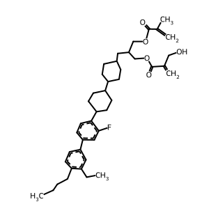 C=C(C)C(=O)OCC(COC(=O)C(=C)CO)CC1CCC(C2CCC(c3ccc(-c4ccc(CCCC)c(CC)c4)cc3F)CC2)CC1